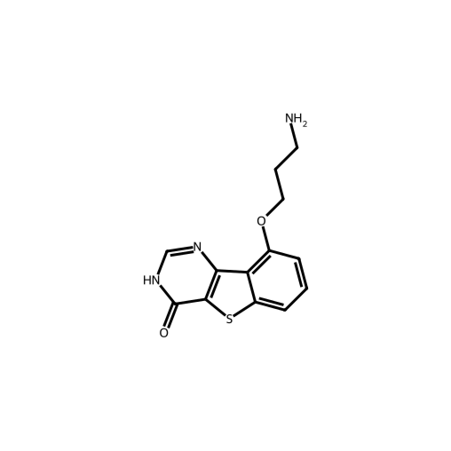 NCCCOc1cccc2sc3c(=O)[nH]cnc3c12